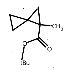 CC(C)(C)OC(=O)C1(C)CC12CC2